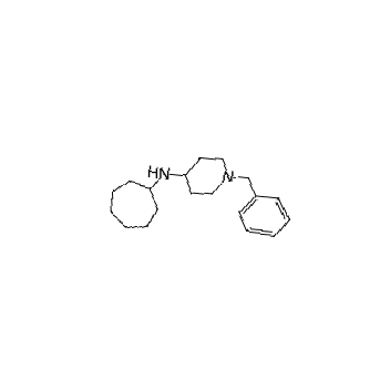 c1ccc(CN2CCC(NC3CCCCCC3)CC2)cc1